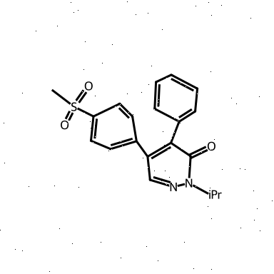 CC(C)n1ncc(-c2ccc(S(C)(=O)=O)cc2)c(-c2ccccc2)c1=O